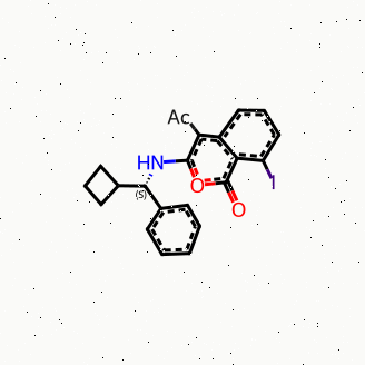 CC(=O)c1c(N[C@H](c2ccccc2)C2CCC2)oc(=O)c2c(I)cccc12